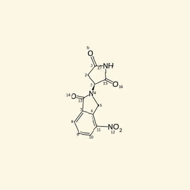 O=C1C[C@H](N2Cc3c(cccc3[N+](=O)[O-])C2=O)C(=O)N1